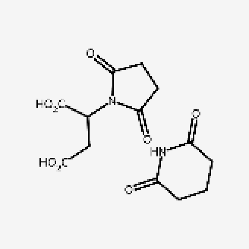 O=C(O)CC(C(=O)O)N1C(=O)CCC1=O.O=C1CCCC(=O)N1